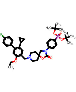 CCOc1cc(-c2ccc(F)cc2)c(C2CC2)cc1CN1CCC2(CC1)CN(c1ccc(P(=O)(OC(C)(C)C)OC(C)(C)C)cc1)C(=O)O2